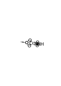 CC#Cc1cc(C)c(C2C(=O)CC3(CCN(S(=O)(=O)NC)CC3)CC2=O)c(C)c1